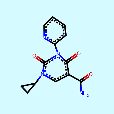 NC(=O)c1cn(C2CC2)c(=O)n(-c2ccccn2)c1=O